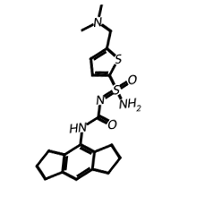 CN(C)Cc1ccc(S(N)(=O)=NC(=O)Nc2c3c(cc4c2CCC4)CCC3)s1